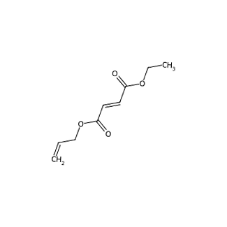 C=CCOC(=O)C=CC(=O)OCC